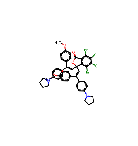 COc1ccc(/C(=C\C2(/C=C(\c3ccc(OC)cc3)c3ccc(N4CCCC4)cc3)OC(=O)c3c(Br)c(Cl)c(Cl)c(Br)c32)c2ccc(N3CCCC3)cc2)cc1